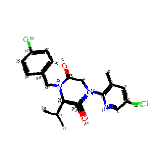 Cc1cc(Cl)cnc1N1CC(=O)N(Cc2ccc(Cl)cc2)C(C(C)C)C1=O